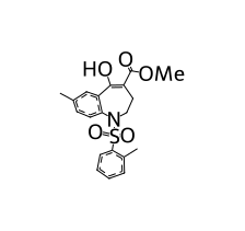 COC(=O)C1=C(O)c2cc(C)ccc2N(S(=O)(=O)c2ccccc2C)CC1